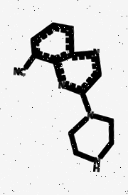 N#Cc1cccc2ncc(N3CCNCC3)nc12